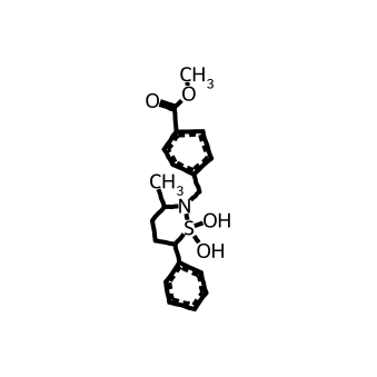 COC(=O)c1ccc(CN2C(C)CCC(c3ccccc3)S2(O)O)cc1